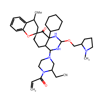 C=CC(=O)N1CCN(C2NC(OCC3CCCN3C)NC3(C4CCCCC4)C(=O)[C@@]4(CCC23)CC(OC)c2ccccc2O4)CC1CC#N